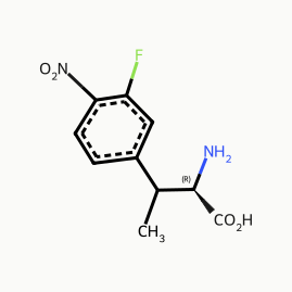 CC(c1ccc([N+](=O)[O-])c(F)c1)[C@@H](N)C(=O)O